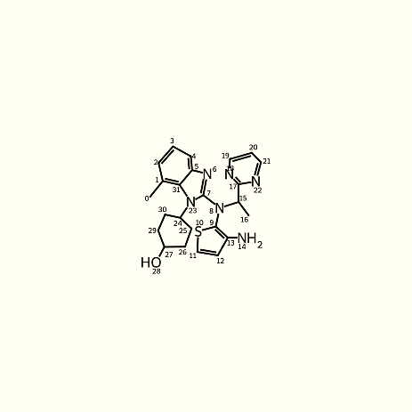 Cc1cccc2nc(N(c3sccc3N)C(C)c3ncccn3)n(C3CCC(O)CC3)c12